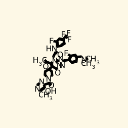 Cc1ncnc(C(=O)N2CCC3(CC2)OC(C)c2c3c(=O)n3nc(-c4ccc(CN(C)C)cc4F)nc3n2CC(=O)Nc2ccc(C(F)(F)F)cc2F)c1O